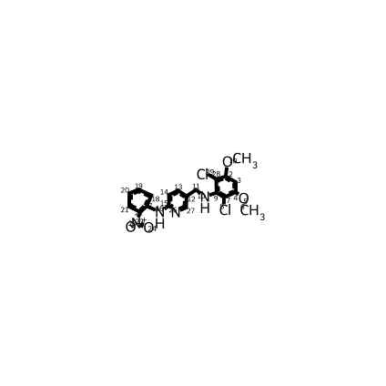 COc1cc(OC)c(Cl)c(NCc2ccc(Nc3ccccc3[N+](=O)[O-])nc2)c1Cl